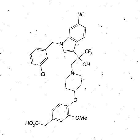 [C-]#[N+]c1ccc2c(C(O)(CN3CCC(Oc4ccc(CC(=O)O)cc4OC)CC3)C(F)(F)F)cn(Cc3cccc(Cl)c3)c2c1